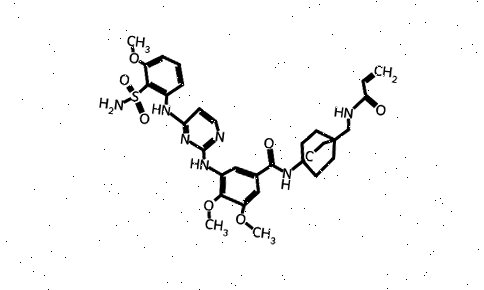 C=CC(=O)NCC12CCC(NC(=O)c3cc(Nc4nccc(Nc5cccc(OC)c5S(N)(=O)=O)n4)c(OC)c(OC)c3)(CC1)CC2